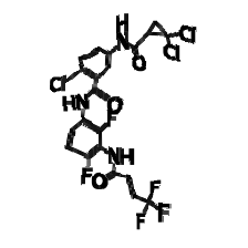 O=C(/C=C/C(F)(F)F)Nc1c(F)ccc(NC(=O)c2cc(NC(=O)C3CC3(Cl)Cl)ccc2Cl)c1F